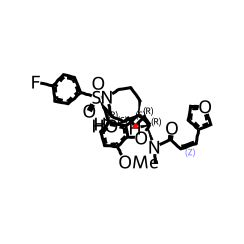 COc1ccc2c3c1O[C@H]1[C@H](N(C)C(=O)/C=C\c4ccoc4)CC[C@@]4(O)[C@@H](C2)N(S(=O)(=O)c2ccc(F)cc2)CCC[C@]314